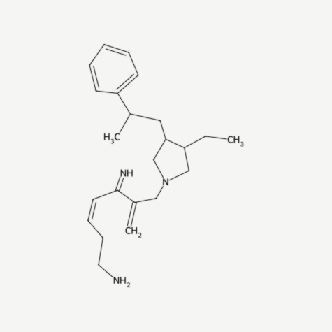 C=C(CN1CC(CC)C(CC(C)c2ccccc2)C1)C(=N)/C=C\CCN